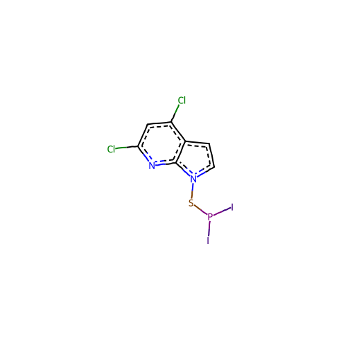 Clc1cc(Cl)c2ccn(SP(I)I)c2n1